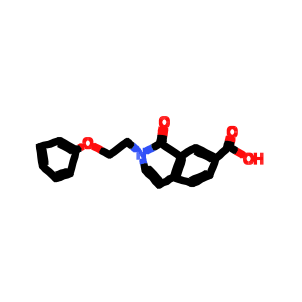 O=C(O)c1ccc2ccn(CCOc3ccccc3)c(=O)c2c1